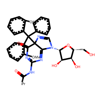 COc1ccccc1C(c1ccccc1)(c1ccccc1OC)C12N=CN([C@@H]3O[C@H](CO)[C@@H](O)[C@H]3O)C1=NC(NC(=O)C(C)C)=NC2=O